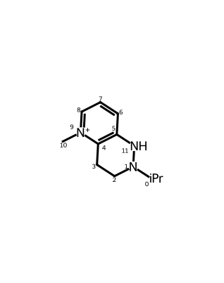 CC(C)N1CCc2c(ccc[n+]2C)N1